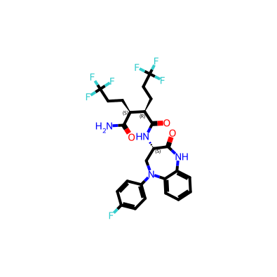 NC(=O)[C@@H](CCC(F)(F)F)[C@@H](CCC(F)(F)F)C(=O)N[C@H]1CN(c2ccc(F)cc2)c2ccccc2NC1=O